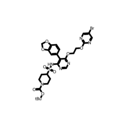 CC(C)(C)OC(=O)N1CCC(S(=O)(=O)Nc2ncnc(OCCOc3ncc(Br)cn3)c2-c2ccc3c(c2)OCO3)CC1